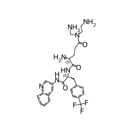 NCCN(CN)C(=O)CC[C@H](N)C(=O)N[C@@H](Cc1ccc(C(F)(F)F)cc1)C(=O)Nc1cnc2ccccc2c1